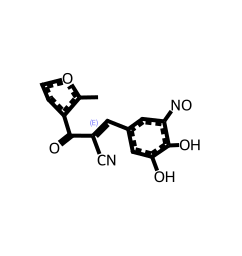 Cc1occc1C(=O)/C(C#N)=C/c1cc(O)c(O)c(N=O)c1